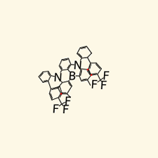 CC1=CCC2C(=C1)B1c3cc(C)ccc3N(C3=CC=CCC3c3ccc(C(F)(F)F)cc3)c3cccc(c31)N2c1ccccc1-c1ccc(C(F)(F)F)cc1